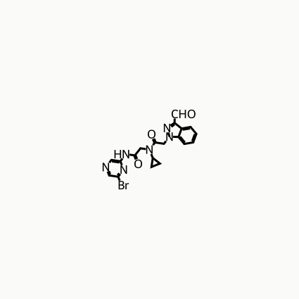 O=Cc1nn(CC(=O)N(CC(=O)Nc2cncc(Br)n2)C2CC2)c2ccccc12